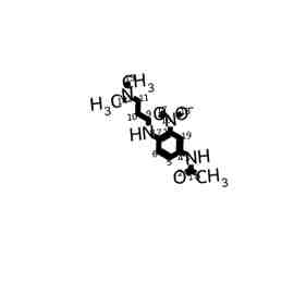 CC(=O)Nc1ccc(NCCCN(C)C)c([N+](=O)[O-])c1